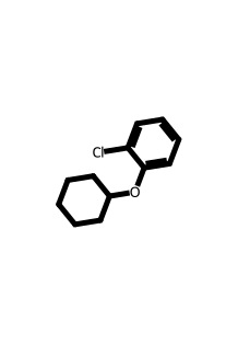 Clc1ccccc1OC1CCCCC1